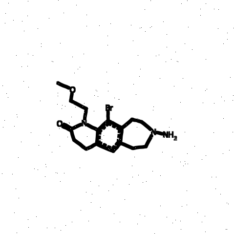 COCCN1C(=O)CCc2cc3c(c(Br)c21)CCN(N)CC3